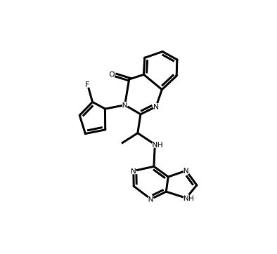 CC(Nc1ncnc2[nH]cnc12)c1nc2ccccc2c(=O)n1C1C=CC=C1F